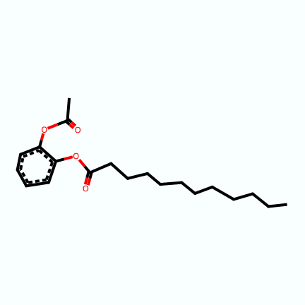 CCCCCCCCCCCC(=O)Oc1ccccc1OC(C)=O